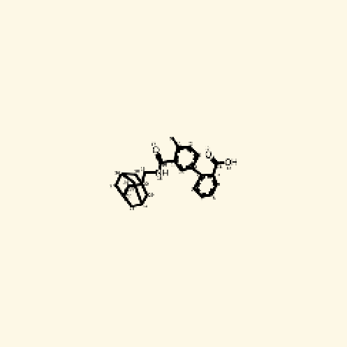 Cc1ccc(-c2ccccc2C(=O)O)cc1C(=O)NCC12CC3CC(CC(C3)C1)C2